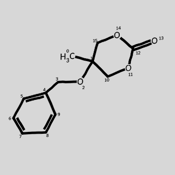 CC1(OCc2ccccc2)COC(=O)OC1